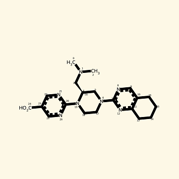 CN(C)C[C@H]1CN(c2ncc3c(n2)CCCC3)CCN1c1ncc(C(=O)O)cn1